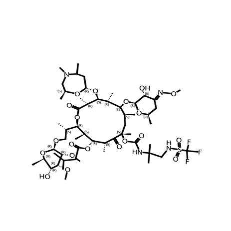 CON=C1C[C@@H](C)O[C@@H](O[C@@H]2[C@@H](C)[C@H](O[C@H]3CC(C)N(C)C[C@H](C)O3)[C@@H](C)C(=O)O[C@H]([C@@H](C)CO[C@@H]3O[C@H](C)[C@@H](O)[C@@H](OC)[C@H]3OC)[C@H](C)[C@@H](OC(=O)CC(C)C)[C@@H](C)C(=O)[C@@](C)(OC(=O)NC(C)(C)CNS(=O)(=O)C(F)(F)F)C[C@@H]2C)[C@@H]1O